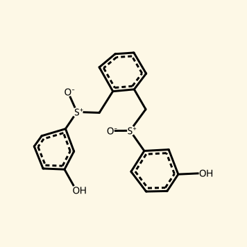 [O-][S+](Cc1ccccc1C[S+]([O-])c1cccc(O)c1)c1cccc(O)c1